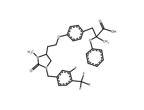 CN1C(=O)N(Cc2ccc(C(F)(F)F)c(F)c2)CC1CCOc1ccc(CC(C)(Oc2ccccc2)C(=O)O)cc1